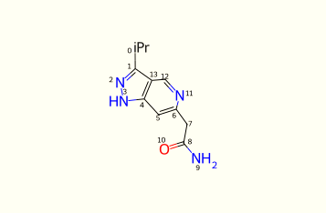 CC(C)c1n[nH]c2cc(CC(N)=O)ncc12